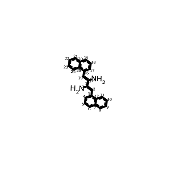 NC(=Cc1cccc2ccccc12)C(N)=Cc1cccc2ccccc12